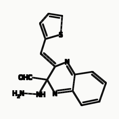 NNC1(C=O)N=c2ccccc2=NC1=Cc1cccs1